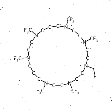 FCN1CCN(C(F)(F)F)CCN(C(F)(F)F)CCCN(C(F)(F)F)CCN(C(F)(F)F)CCCN(C(F)(F)F)CCN(C(F)(F)F)CC1